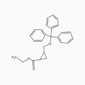 CCOC(=O)C1CC1COC(c1ccccc1)(c1ccccc1)c1ccccc1